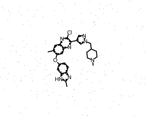 Cc1nc2ccc(Oc3cc4nc(-c5cnn(CC6CCN(C)CC6)c5)c(Cl)nc4cc3C)cc2[nH]1